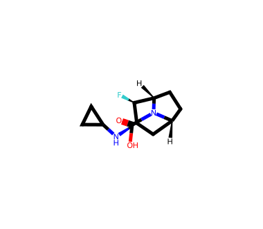 O=C(O)N1[C@@H]2CC[C@H]1[C@H](F)[C@H](NC1CC1)C2